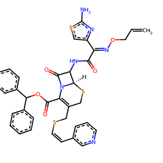 C=CCO/N=C(/C(=O)NC1C(=O)N2C(C(=O)OC(c3ccccc3)c3ccccc3)=C(CS/C=C\c3cccnc3)CS[C@H]12)c1csc(N)n1